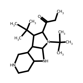 CCC(=O)C1C(C(C)(C)C)C2C3CNCCC3NC2N1C(C)(C)C